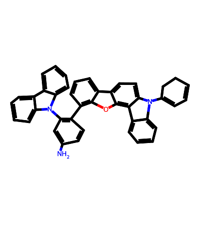 Nc1ccc(-c2cccc3c2oc2c3ccc3c2c2ccccc2n3C2=CC=CCC2)c(-n2c3ccccc3c3ccccc32)c1